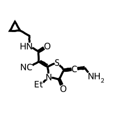 CCn1c(=O)c(=C=CN)s/c1=C(/C#N)C(=O)NCC1CC1